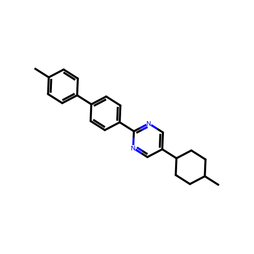 Cc1ccc(-c2ccc(-c3ncc(C4CCC(C)CC4)cn3)cc2)cc1